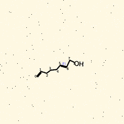 C=CCCC/C=C/CO